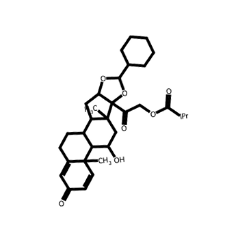 CC(C)C(=O)OCC(=O)C12OC(C3CCCCC3)OC1CC1C3CCC4=CC(=O)C=CC4(C)C3C(O)CC12C